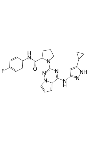 O=C(NC1C=CC(F)=CC1)C1CCCN1c1nc(Nc2cc(C3CC3)[nH]n2)c2cccn2n1